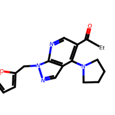 CCC(=O)c1cnc2c(cnn2Cc2ccco2)c1N1CCCC1